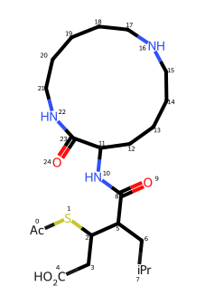 CC(=O)SC(CC(=O)O)C(CC(C)C)C(=O)NC1CCCCNCCCCCNC1=O